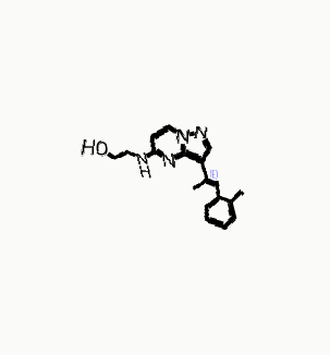 C/C(=C\c1ccccc1C)c1cnn2ccc(NCCO)nc12